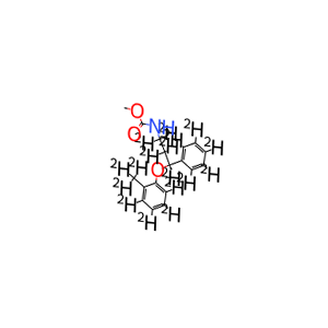 [2H]c1c([2H])c([2H])c([C@]([2H])(Oc2c([2H])c([2H])c([2H])c([2H])c2C([2H])([2H])[2H])C([2H])([2H])C([2H])([2H])NC(=O)OC)c([2H])c1[2H]